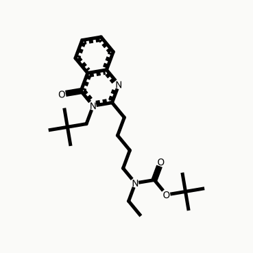 CCN(CCCCc1nc2ccccc2c(=O)n1CC(C)(C)C)C(=O)OC(C)(C)C